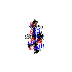 C=CCNC(=O)C(=O)C(NC(=O)[C@@H]1[C@@H]2[C@H](CN1C(=O)[C@@H](NC(=O)N[C@H](CN(C)S(=O)(=O)c1cccs1)CC(C)(C)C)C(C)(C)C)C2(C)C)C1CC1